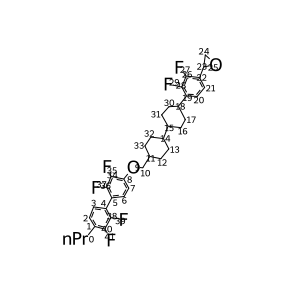 CCCc1ccc(-c2ccc(OCC3CCC(C4CCC(c5ccc(C6CO6)c(F)c5F)CC4)CC3)c(F)c2F)c(F)c1F